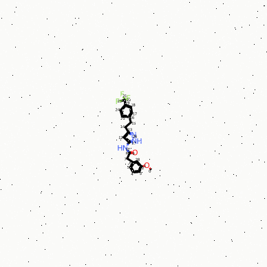 COc1cccc(CC(=O)Nc2cc(CCc3ccc(C(F)(F)F)cc3)n[nH]2)c1